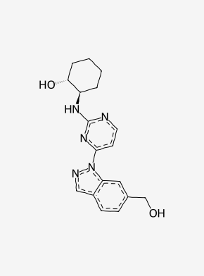 OCc1ccc2cnn(-c3ccnc(N[C@@H]4CCCC[C@H]4O)n3)c2c1